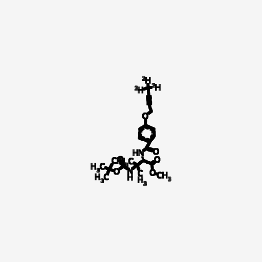 [2H]C([2H])([2H])C#CCOc1ccc(C(=O)N[C@H](C(=O)OC)C(C)(C)NC(=O)OC(C)(C)C)cc1